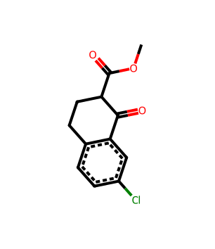 COC(=O)C1CCc2ccc(Cl)cc2C1=O